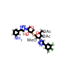 COC1C(SC2COCC(n3cc(-c4cccc(N)c4)nn3)C2O)OC(COC(C)=O)C(OC(C)=O)C1n1cc(-c2cc(F)c(F)c(F)c2)nn1